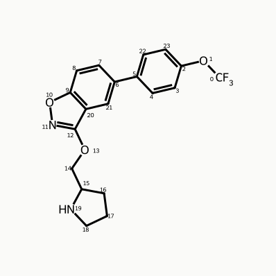 FC(F)(F)Oc1ccc(-c2ccc3onc(OCC4CCCN4)c3c2)cc1